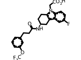 O=C(O)Cn1c2c(c3cc(F)ccc31)C[C@@H](NC(=O)CCc1cccc(OC(F)(F)F)c1)CC2